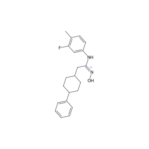 Cc1ccc(N/C(CC2CCC(c3ccccc3)CC2)=N/O)cc1F